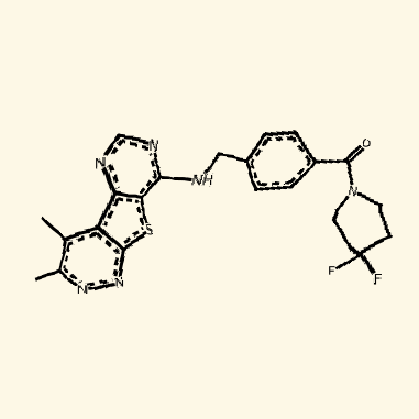 Cc1nnc2sc3c(NCc4ccc(C(=O)N5CCC(F)(F)C5)cc4)ncnc3c2c1C